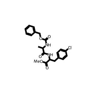 COC(=O)C(Cc1ccc(Cl)cc1)NC(=O)C(C)NC(=O)OCc1ccccc1